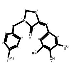 COc1ccc(CN2CSC(=Cc3cc(C(C)(C)C)c(O)c(C(C)(C)C)c3)C2=O)cc1